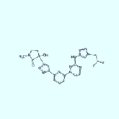 CN1CCC(O)(c2cc(-c3cccc(-c4ccnc(Nc5cnn(CC(F)F)c5)n4)n3)no2)C1=O